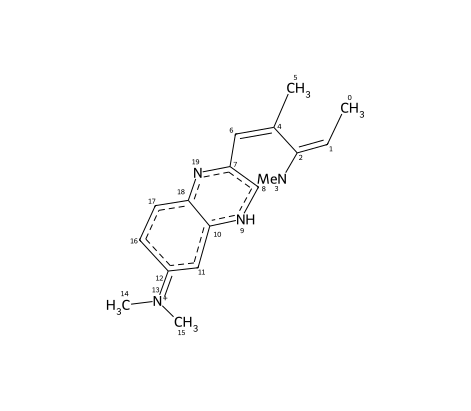 C/C=C(NC)\C(C)=C/c1c[nH]c2cc(=[N+](C)C)ccc-2n1